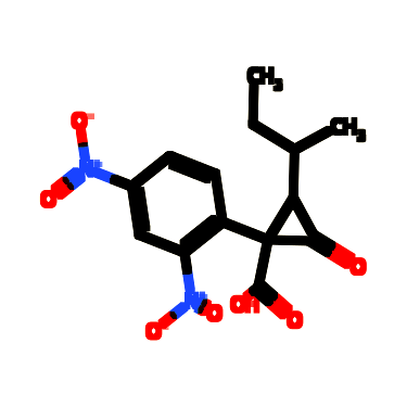 CCC(C)C1C(=O)C1(C(=O)O)c1ccc([N+](=O)[O-])cc1[N+](=O)[O-]